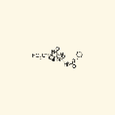 O=C(O)Cn1cnc2c(NC(=O)CCNC(=O)OCc3ccccc3)[nH]c(=O)nc21